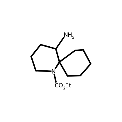 CCOC(=O)N1CCCC(N)C12CCCCC2